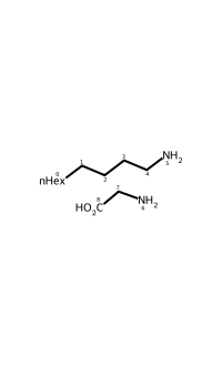 CCCCCCCCCCN.NCC(=O)O